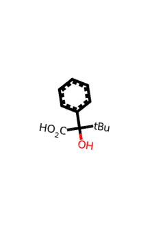 CC(C)(C)C(O)(C(=O)O)c1ccccc1